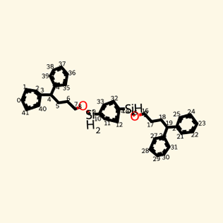 c1ccc(C(CCCO[SiH2]c2ccc([SiH2]OCCCC(c3ccccc3)c3ccccc3)cc2)c2ccccc2)cc1